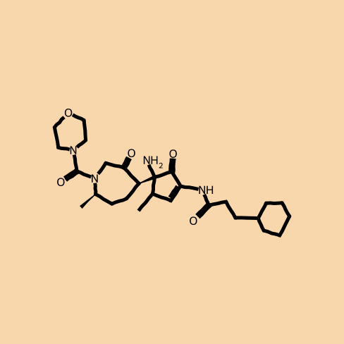 CC1C=C(NC(=O)CCC2CCCCC2)C(=O)C1(N)[C@H]1CC[C@@H](C)N(C(=O)N2CCOCC2)CC1=O